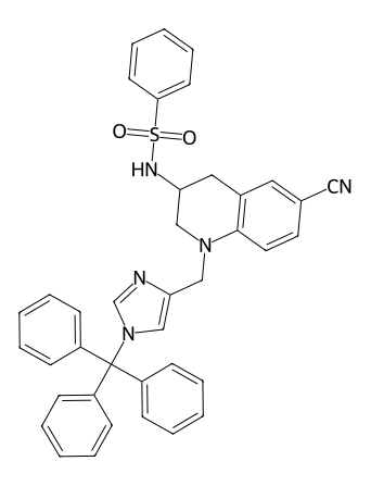 N#Cc1ccc2c(c1)CC(NS(=O)(=O)c1ccccc1)CN2Cc1cn(C(c2ccccc2)(c2ccccc2)c2ccccc2)cn1